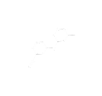 Cc1cc(Oc2cccc(C#N)c2)ncn1